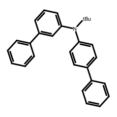 CC(C)(C)N(c1ccc(-c2ccccc2)cc1)c1cccc(-c2ccccc2)c1